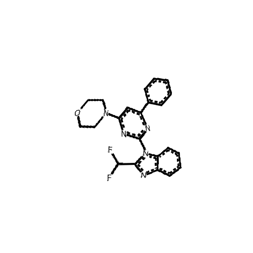 FC(F)c1nc2ccccc2n1-c1nc(-c2ccccc2)cc(N2CCOCC2)n1